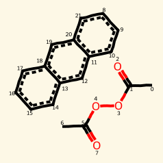 CC(=O)OOC(C)=O.c1ccc2cc3ccccc3cc2c1